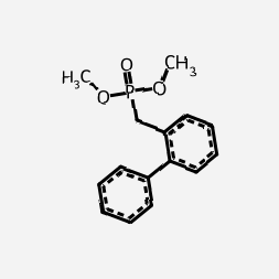 COP(=O)(Cc1ccccc1-c1ccccc1)OC